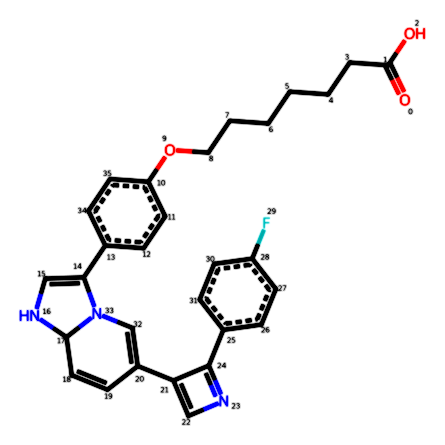 O=C(O)CCCCCCOc1ccc(C2=CNC3C=CC(C4=CN=C4c4ccc(F)cc4)=CN23)cc1